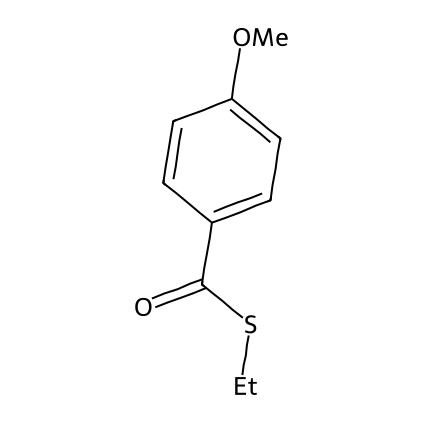 [CH]CSC(=O)c1ccc(OC)cc1